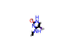 C=CNc1nc(=O)[nH]cc1I